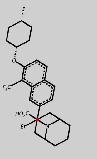 CCC(c1ccc2ccc(O[C@H]3CC[C@@H](C)CC3)c(C(F)(F)F)c2c1)N1C2CCCC1CC(C(=O)O)C2